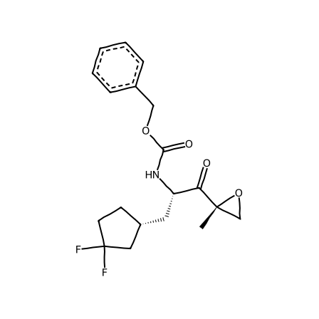 C[C@]1(C(=O)[C@H](C[C@H]2CCC(F)(F)C2)NC(=O)OCc2ccccc2)CO1